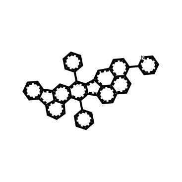 c1ccc(-c2c3cc4c5ccccc5c5cccc(c3c(-c3ccccc3)c3c6ccc7ccc8c(-c9ccccn9)ccc9cc(c23)c6c7c98)c54)cc1